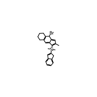 CC1=C([Si](C)(C)C2=Cc3ccccc3C2)C2=CC3=C(CCCC3)C(Br)C2=C1